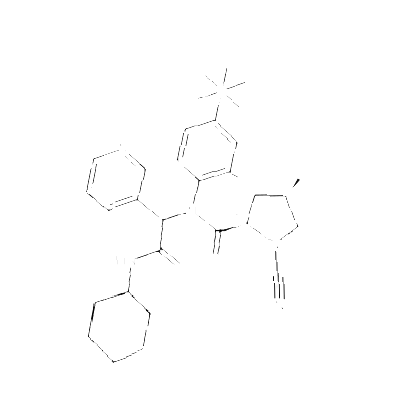 N#CN1C[C@H](O)C[C@@H]1C(=O)N(c1ccc(S(F)(F)(F)(F)F)cc1Cl)C(C(=O)NC1CCCCC1)c1cccnc1